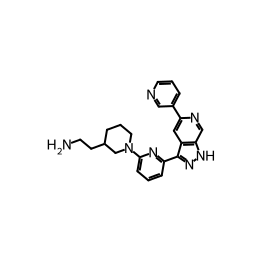 NCCC1CCCN(c2cccc(-c3n[nH]c4cnc(-c5cccnc5)cc34)n2)C1